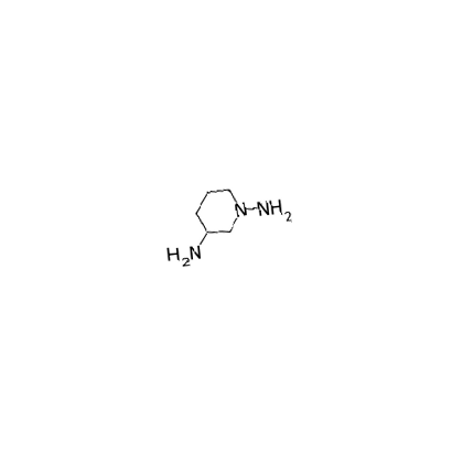 NC1CCCN(N)C1